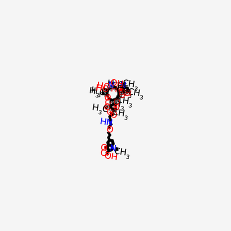 CC[C@H]1OC(=O)[C@H](C)[C@@H](O[C@H]2C[C@@H](OC)[C@@H](OC(=O)CCNCCOCCCc3ccc4c(c3)c(=O)c(C(=O)O)cn4CC)[C@H](C)O2)[C@H](C)[C@@H](O[C@H]2O[C@@H](C)C[C@H](N(C)C)[C@H]2O)[C@](C)(O)C[C@@H](C)/C(=N\O)[C@@H](O)[C@]1(C)O